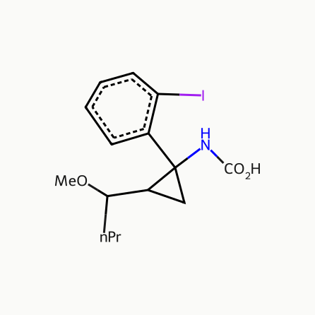 CCCC(OC)C1CC1(NC(=O)O)c1ccccc1I